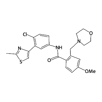 COc1ccc(C(=O)Nc2ccc(Cl)c(-c3csc(C)n3)c2)c(CN2CCOCC2)c1